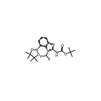 CC(C)(C)OC(=O)Nc1nc2cccc(B3OC(C)(C)C(C)(C)O3)c2n1C(F)F